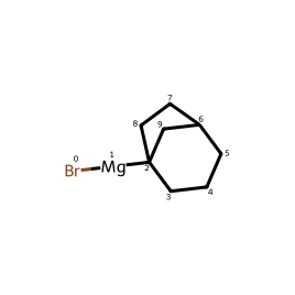 [Br][Mg][C]12CCCC(CC1)C2